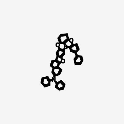 c1ccc(-c2ccc3c(c2)B2c4cc5oc6c7ccc(N(c8ccccc8)c8ccccc8)cc7ccc6c5cc4Oc4cccc(c42)O3)cc1